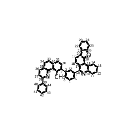 Cc1c(-c2cccc(-c3nc4ccccc4c4c3ccc3c5ccccc5oc34)c2)ccc2ccc3ccc(-c4ccccc4)nc3c12